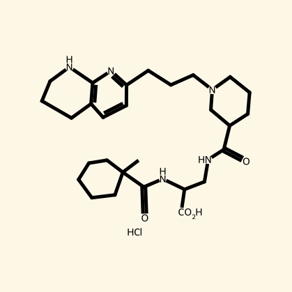 CC1(C(=O)NC(CNC(=O)C2CCCN(CCCc3ccc4c(n3)NCCC4)C2)C(=O)O)CCCCC1.Cl